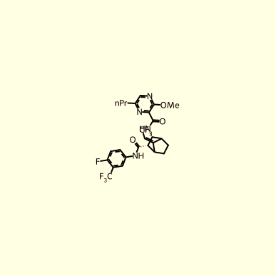 CCCc1cnc(OC)c(C(=O)N[C@@H]2C3CCC(/C3=C/C(F)(F)F)[C@@H]2C(=O)Nc2ccc(F)c(C(F)(F)F)c2)n1